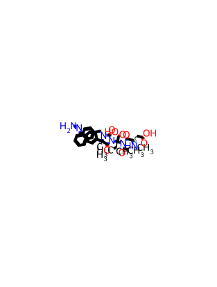 CN[C@@H](CC(=O)O)C(=O)N(C(C)=O)[C@](C(=O)O)(C(C)C)N1C(=O)N(Cc2ccc3ccccc3c2)[C@](C)(c2ccc(C=NN)cc2)C1=O